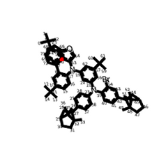 CC(C)(C)c1ccc(-c2cc(C(C)(C)C)ccc2N(c2cc(N(c3ccc(C4CC5CCC4(C)C5(C)C)cc3)c3ccc(C4CC5CCC4(C)C5(C)C)cc3Br)cc(C(C)(C)C)c2)c2coc3ccccc23)cc1